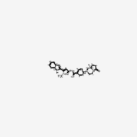 Cn1nc(NC(=O)c2ccc(N3CCN4C(=O)CC[C@@H]4C3)nc2)cc1-c1nc2ccccc2[nH]1